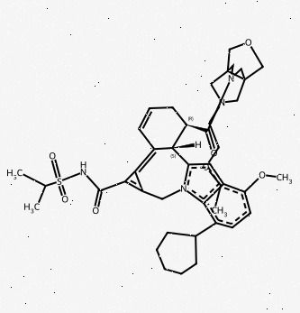 CCOCCN1CC23COCC2(C1)CN(C(=O)[C@@H]1CC=CC2=C4C(=C4C(=O)NS(=O)(=O)C(C)C)Cn4c(cc5c(OC)ccc(C6CCCCC6)c54)[C@H]21)C3